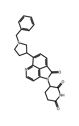 O=C1CCC(N2C(=O)c3ccc(C4CCN(Cc5ccccc5)C4)c4nccc2c34)C(=O)N1